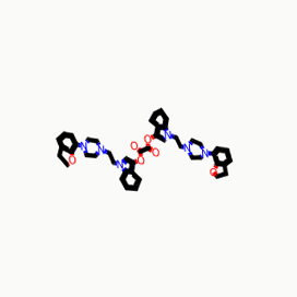 O=C(Oc1cn(CCN2CCN(c3cccc4c3OCC4)CC2)c2ccccc12)C(=O)Oc1cn(CCN2CCN(c3cccc4c3OCC4)CC2)c2ccccc12